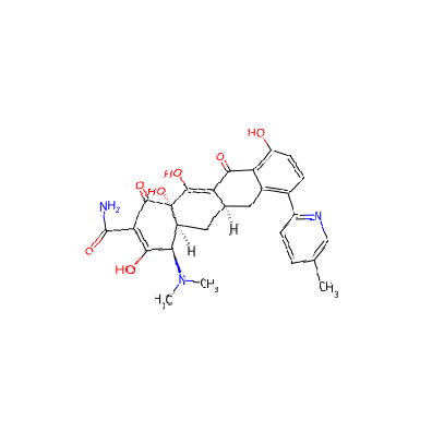 Cc1ccc(-c2ccc(O)c3c2C[C@H]2C[C@H]4[C@@H](N(C)C)C(O)=C(C(N)=O)C(=O)[C@@]4(O)C(O)=C2C3=O)nc1